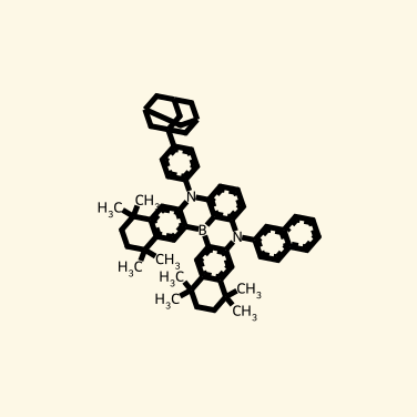 CC1(C)CCC(C)(C)c2cc3c(cc21)B1c2cc4c(cc2N(c2ccc5ccccc5c2)c2cccc(c21)N3c1ccc(C23CC5CC(CC(C5)C2)C3)cc1)C(C)(C)CCC4(C)C